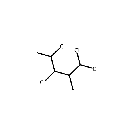 C[C](Cl)C(Cl)C(C)C(Cl)Cl